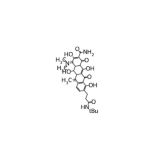 C[C@H]1c2ccc(CCC(=O)NC(C)(C)C)c(O)c2C(=O)C2=C(O)C3C(=O)C(C(N)=O)=C(O)[C@@H](N(C)C)C3C(O)C21